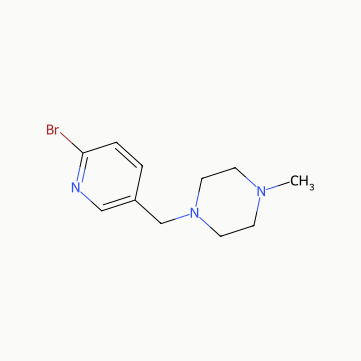 CN1CCN(Cc2ccc(Br)nc2)CC1